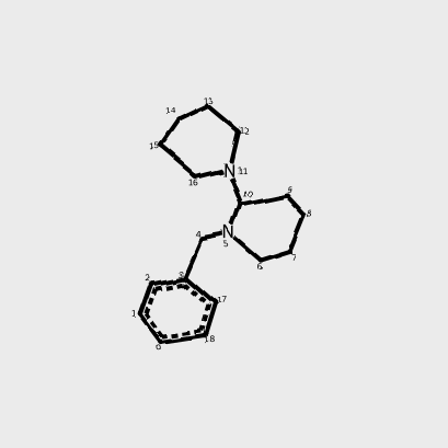 c1ccc(CN2CCCCC2N2CCCCC2)cc1